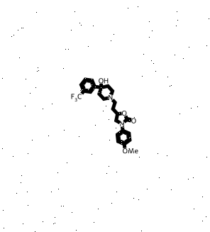 COc1ccc(N2CC(CCN3CCC(O)(c4cccc(C(F)(F)F)c4)CC3)OC2=O)cc1